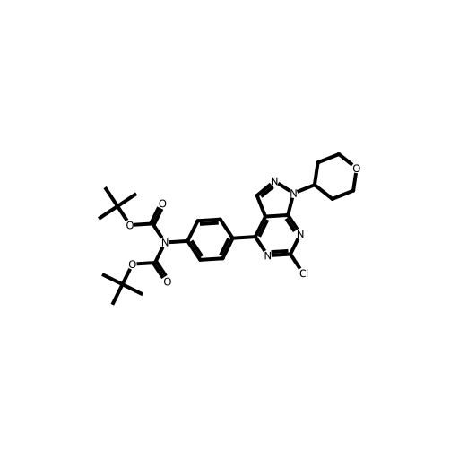 CC(C)(C)OC(=O)N(C(=O)OC(C)(C)C)c1ccc(-c2nc(Cl)nc3c2cnn3C2CCOCC2)cc1